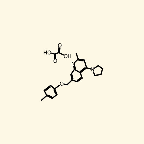 Cc1ccc(OCc2ccc3c(N4CCCC4)cc(C)nc3c2)cc1.O=C(O)C(=O)O